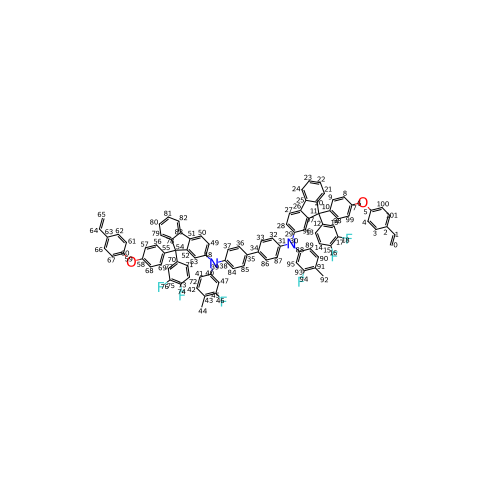 C=Cc1ccc(Oc2ccc(C3(c4ccc(F)c(F)c4)c4ccccc4-c4ccc(N(c5ccc(-c6ccc(N(c7ccc(C)c(F)c7)c7ccc8c(c7)C(c7ccc(Oc9ccc(C=C)cc9)cc7)(c7ccc(F)c(F)c7)c7ccccc7-8)cc6)cc5)c5ccc(C)c(F)c5)cc43)cc2)cc1